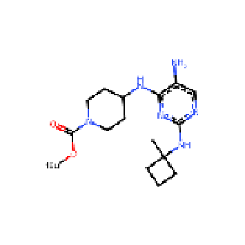 CC1(Nc2ncc(N)c(NC3CCN(C(=O)OC(C)(C)C)CC3)n2)CCC1